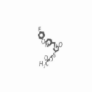 CC(=O)OCS[C@@H]1CC(=O)N(Cc2ccc(Oc3ccc(F)cc3)nc2)C1